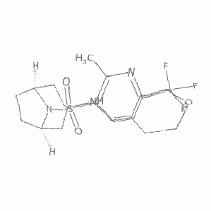 Cc1nc(C(F)(F)F)ccc1S(=O)(=O)N1[C@@H]2CC[C@H]1CC(NCC1CCOCC1)C2